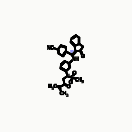 CN(C)C(=O)CN(c1cccc(N/C(=C2\C(=O)Cc3ccccc32)c2ccc(C#N)cc2)c1)S(C)(=O)=O